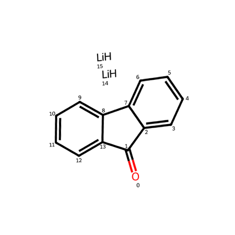 O=C1c2ccccc2-c2ccccc21.[LiH].[LiH]